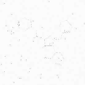 O=C(Nc1ccc(F)c(F)c1)c1cn(Cc2ccc(Cl)cc2)n(-c2ccc(Cl)cc2Cl)c1=O